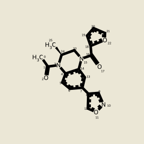 CC(=O)N1c2ccc(-c3cnoc3)cc2N(C(=O)c2ccco2)C[C@@H]1C